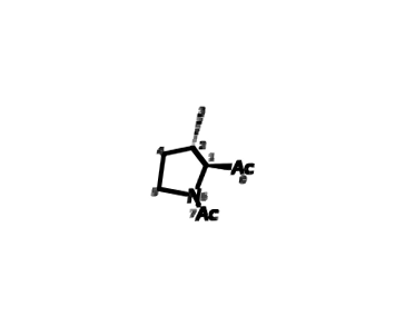 CC(=O)[C@@H]1[C@@H](C)CCN1C(C)=O